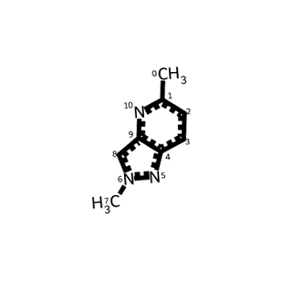 Cc1ccc2nn(C)cc2n1